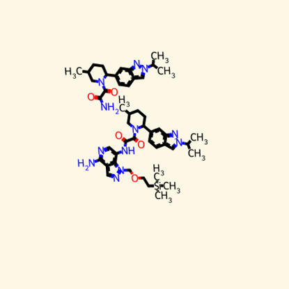 CC1CCC(c2ccc3cn(C(C)C)nc3c2)N(C(=O)C(=O)Nc2cnc(N)c3cnn(COCC[Si](C)(C)C)c23)C1.CC1CCC(c2ccc3cn(C(C)C)nc3c2)N(C(=O)C(N)=O)C1